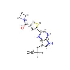 CC(C)(C=O)Cc1c[nH]c2ncc(-c3cc(C(=O)N4CCC4)cs3)nc12